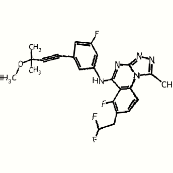 COC(C)(C)C#Cc1cc(F)cc(Nc2nc3nnc(C)n3c3ccc(CC(F)F)c(F)c23)c1